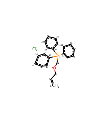 C=CCOC[P+](c1ccccc1)(c1ccccc1)c1ccccc1.[Cl-]